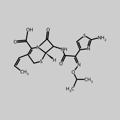 C/C=C\C1=C(C(=O)O)N2C(=O)C(NC(=O)/C(=N\OC(C)C)c3csc(N)n3)[C@@H]2SC1